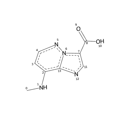 CNc1ccnn2c(C(=O)O)cnc12